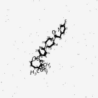 CC1(C)CCCOB(c2ccc(N3CCN(C(=O)Cc4ccc(F)cn4)CC3)nc2)OC1(C)C